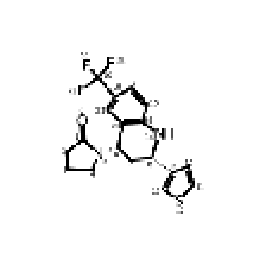 O=C1CCCN1[C@H]1C[C@@H](c2ccsc2)Nc2ccc(C(F)(F)F)cc21